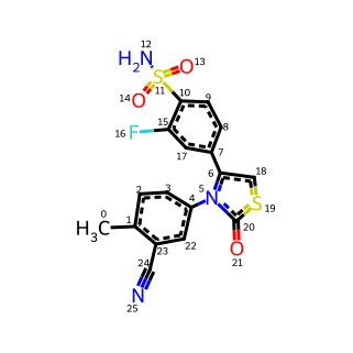 Cc1ccc(-n2c(-c3ccc(S(N)(=O)=O)c(F)c3)csc2=O)cc1C#N